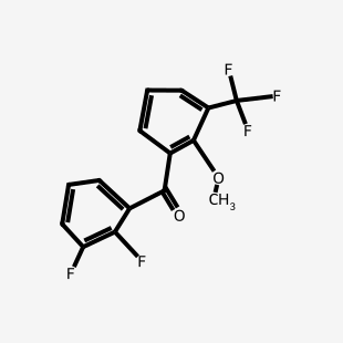 COc1c(C(=O)c2cccc(F)c2F)cccc1C(F)(F)F